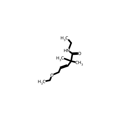 CCNC(=O)C(C)(C)/C=C/COCC